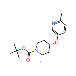 Cc1ccc(O[C@H]2CCN(C(=O)OC(C)(C)C)[C@@H](C)C2)cn1